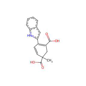 CC1(C(=O)O)C=CC(c2cc3ccccc3[nH]2)=C(C(=O)O)C1